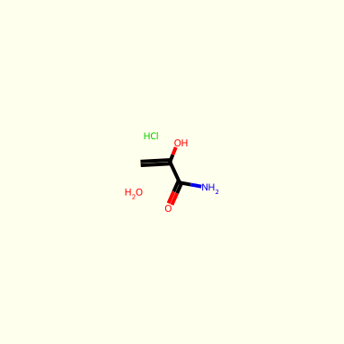 C=C(O)C(N)=O.Cl.O